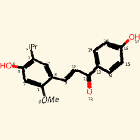 COc1cc(O)c(C(C)C)cc1C=CC(=O)c1ccc(O)cc1